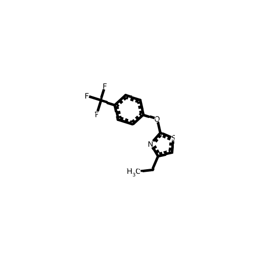 CCc1csc(Oc2ccc(C(F)(F)F)cc2)n1